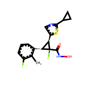 Cc1c(F)cccc1[C@@H]1[C@@H](c2cnc(C3CC3)s2)[C@]1(F)C(=O)NO